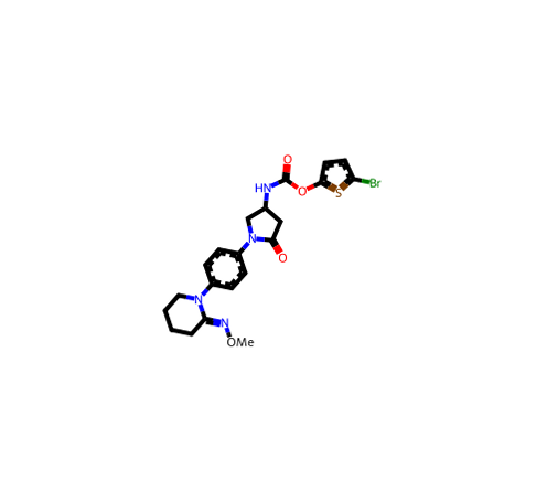 CON=C1CCCCN1c1ccc(N2CC(NC(=O)Oc3ccc(Br)s3)CC2=O)cc1